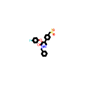 O=c1c(Oc2ccc(F)cc2)c(-c2ccc(C[SH](=O)=O)cc2)cnn1Cc1ccccc1